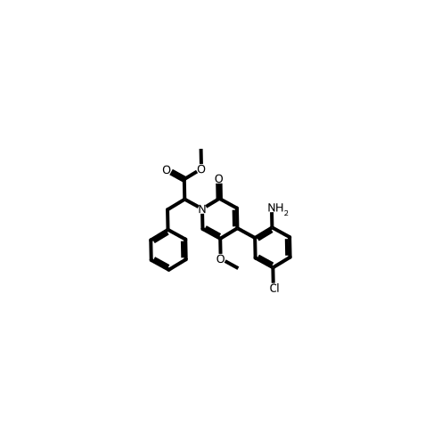 COC(=O)C(Cc1ccccc1)n1cc(OC)c(-c2cc(Cl)ccc2N)cc1=O